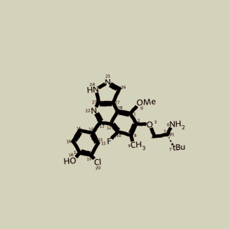 COc1c(OC[C@H](N)C(C)(C)C)c(C)c(F)c2c(-c3ccc(O)c(Cl)c3)nc3[nH]ncc3c12